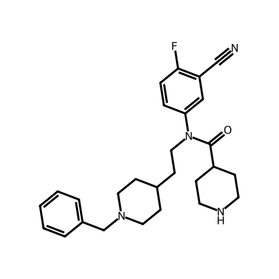 N#Cc1cc(N(CCC2CCN(Cc3ccccc3)CC2)C(=O)C2CCNCC2)ccc1F